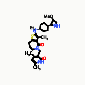 CCN(c1sc2c(c1C)C(=O)N(Cc1c(C)cc(C)[nH]c1=O)CCC2)[C@H]1CC[C@H](C2NCC2OC)CC1